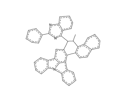 CC1c2c(ccc3ccccc23)-c2c(cc3c4ccccc4n4c5ccccc5c2c34)C1c1nc(-c2ccccc2)nc2ccccc12